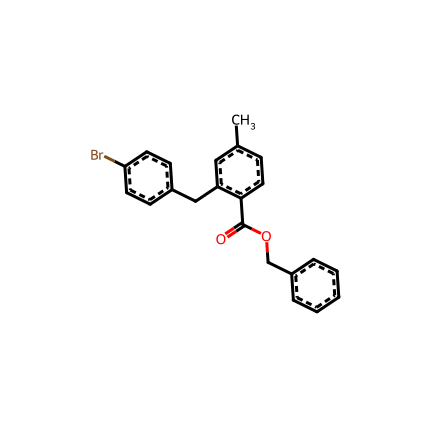 Cc1ccc(C(=O)OCc2ccccc2)c(Cc2ccc(Br)cc2)c1